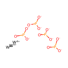 [O-]P([O-])[O-].[O-]P([O-])[O-].[O-]P([O-])[O-].[O-]P([O-])[O-].[W+4].[W+4].[W+4]